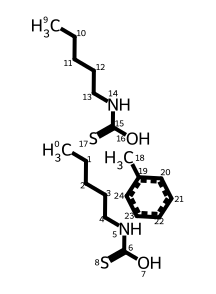 CCCCCNC(O)=S.CCCCCNC(O)=S.Cc1ccccc1